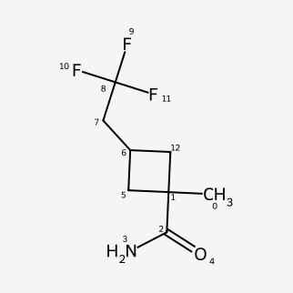 CC1(C(N)=O)CC(CC(F)(F)F)C1